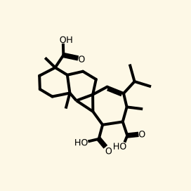 CC(C)C1=CC23CCC4C(C)(C(=O)O)CCCC4(C)C2C3C(C(=O)O)C(C(=O)O)C1C